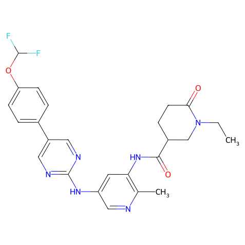 CCN1CC(C(=O)Nc2cc(Nc3ncc(-c4ccc(OC(F)F)cc4)cn3)cnc2C)CCC1=O